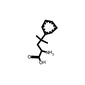 CC(C)(CC(N)C(=O)O)c1ccccc1